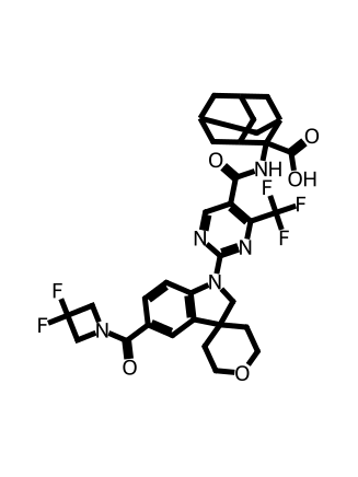 O=C(NC1(C(=O)O)C2CC3CC(C2)CC1C3)c1cnc(N2CC3(CCOCC3)c3cc(C(=O)N4CC(F)(F)C4)ccc32)nc1C(F)(F)F